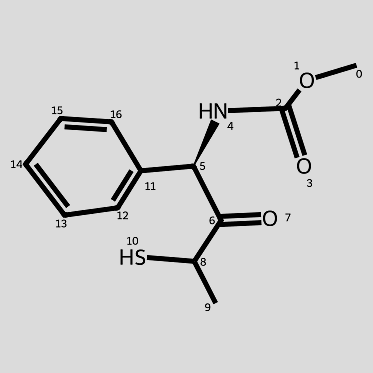 COC(=O)N[C@@H](C(=O)C(C)S)c1ccccc1